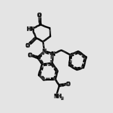 NC(=O)c1ccc2c(=O)n(C3CCC(=O)NC3=O)n(Cc3ccccc3)c2c1